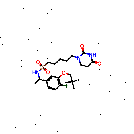 CC(NS(=O)(=O)CCCCCN1CCC(=O)NC1=O)c1ccc(F)c(OCC(C)(C)C)c1